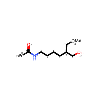 CCCC(=O)NCCCCC(CO)COC